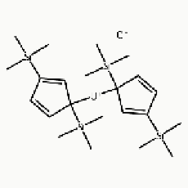 C[Si](C)(C)C1=C[C]([U+][C]2([Si](C)(C)C)C=CC([Si](C)(C)C)=C2)([Si](C)(C)C)C=C1.[Cl-]